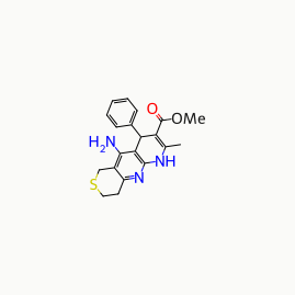 COC(=O)C1=C(C)Nc2nc3c(c(N)c2C1c1ccccc1)CSCC3